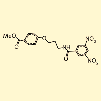 COC(=O)c1ccc(OCCCNC(=O)c2cc([N+](=O)[O-])cc([N+](=O)[O-])c2)cc1